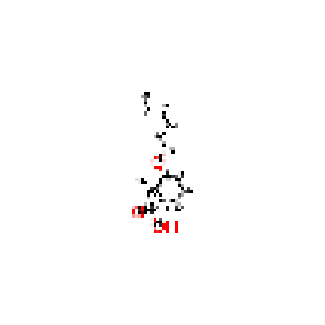 CC/C=C\CCOc1cccc(C(=O)O)c1C